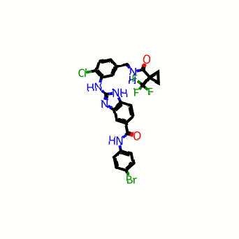 O=C(Nc1ccc(Br)cc1)c1ccc2[nH]c(Nc3cc(CNC(=O)C4(C(F)(F)F)CC4)ccc3Cl)nc2c1